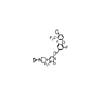 Cn1c(N2CCN(C3CC3)CC2)cc(OCc2cc(F)c(Oc3ccc(Cl)c(C(F)(F)F)c3)c(F)c2)nc1=O